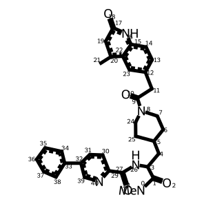 CNC(=O)C(CC1CCN(C(=O)Cc2ccc3[nH]c(=O)cc(C)c3c2)CC1)NC(=O)c1ccc(-c2ccccc2)cn1